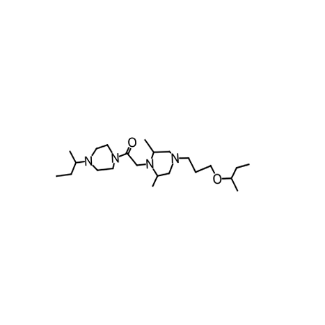 CCC(C)OCCCN1CC(C)N(CC(=O)N2CCN(C(C)CC)CC2)C(C)C1